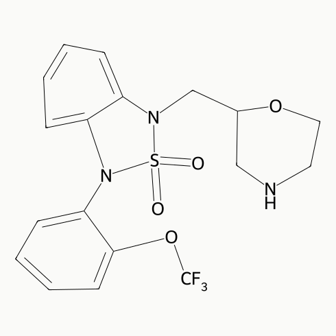 O=S1(=O)N(CC2CNCCO2)c2ccccc2N1c1ccccc1OC(F)(F)F